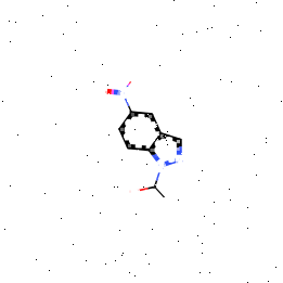 CC(O)n1ncc2cc([N+](=O)[O-])ccc21